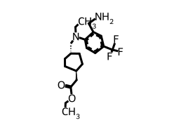 CCOC(=O)C[C@H]1CC[C@H](CN(CC)c2ccc(C(F)(F)F)cc2CN)CC1